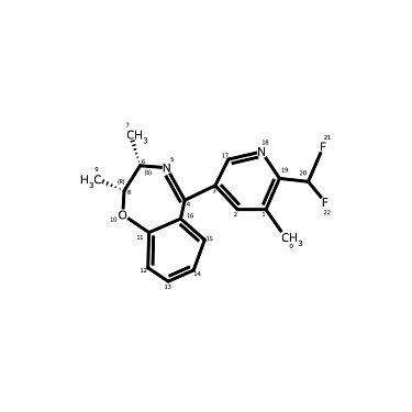 Cc1cc(C2=N[C@@H](C)[C@@H](C)Oc3ccccc32)cnc1C(F)F